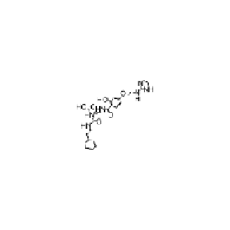 O=C(NCCc1ccccc1)N[C@@H](CNC(=O)c1ccc(OCCNC2=NCCN2)cc1O)C(=O)O